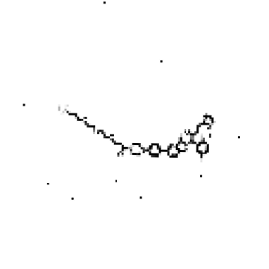 CCCCOCCOCCOCCC(=O)N1CCN(c2ccc(-c3ccc4c(c3)C(=O)N(C(C(=O)CCc3nccs3)c3cc(F)ccc3O)C4)cc2)CC1